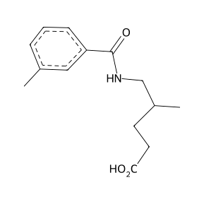 Cc1cccc(C(=O)NCC(C)CCC(=O)O)c1